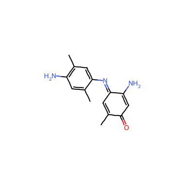 CC1=CC(=Nc2cc(C)c(N)cc2C)C(N)=CC1=O